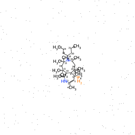 C=C1NC(C)=CC(C)(P)C2C1C(C)(C)CC(C)(C)N(C(CCC)CCC)C(C)CC2(C)C